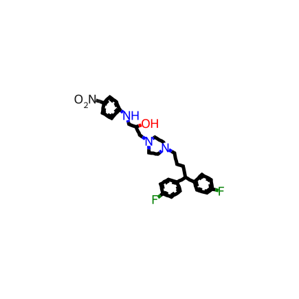 O=[N+]([O-])c1ccc(NCC(O)CN2CCN(CCCC(c3ccc(F)cc3)c3ccc(F)cc3)CC2)cc1